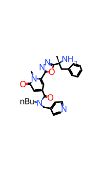 CCCCN(Cc1ccncc1)C(=O)c1cc(-c2nnc([C@](C)(N)Cc3ccccc3)o2)n(C)c(=O)c1